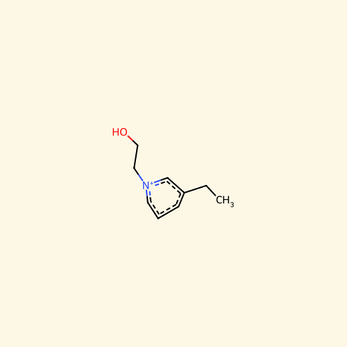 CCc1ccc[n+](CCO)c1